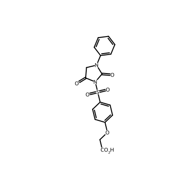 O=C(O)COc1ccc(S(=O)(=O)N2C(=O)CN(c3ccccc3)C2=O)cc1